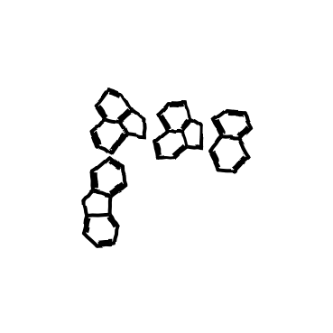 c1cc2c3c(cccc3c1)CC2.c1cc2c3c(cccc3c1)CC2.c1ccc2c(c1)Cc1ccccc1-2.c1ccc2ccccc2c1